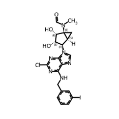 CN(C=O)[C@@]12C[C@H]1[C@@H](n1cnc3c(NCc4cccc(I)c4)nc(Cl)nc31)[C@H](O)[C@@H]2O